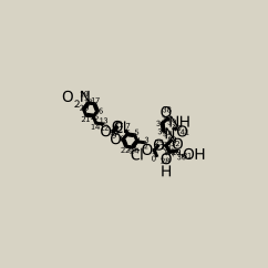 CC(OCc1cc(Cl)c(OC(=O)OCCc2ccc([N+](=O)[O-])cc2)cc1Cl)O[C@@H]1[C@H](O)[C@@H](CO)O[C@H]1n1ccc(=O)[nH]c1=O